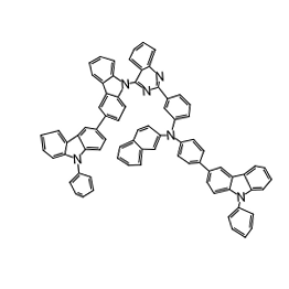 c1ccc(-n2c3ccccc3c3cc(-c4ccc(N(c5cccc(-c6nc(-n7c8ccccc8c8cc(-c9ccc%10c(c9)c9ccccc9n%10-c9ccccc9)ccc87)c7ccccc7n6)c5)c5ccc6ccccc6c5)cc4)ccc32)cc1